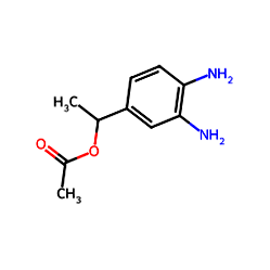 CC(=O)OC(C)c1ccc(N)c(N)c1